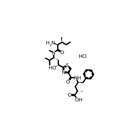 CC[C@H](C)[C@H](N)C(=O)N(C)[C@H](C[C@@H](O)c1nc(C(=O)N[C@@H](Cc2ccccc2)C[C@H](C)C(=O)O)cs1)C(C)C.Cl